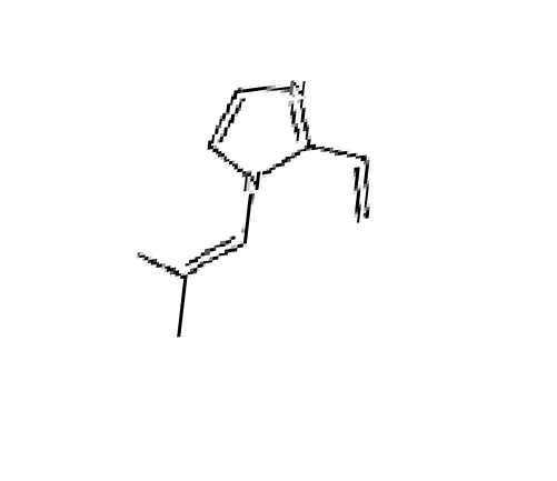 C=Cc1nccn1C=C(C)C